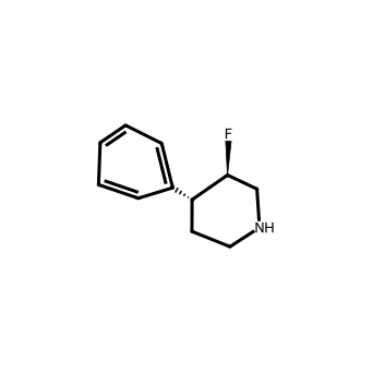 F[C@H]1CNCC[C@@H]1c1ccccc1